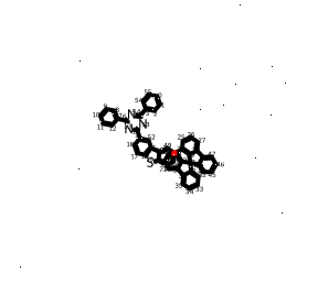 c1ccc(-c2nc(-c3ccccc3)nc(-c3ccc4sc5ccc(-c6cccc7c6C6(c8ccccc8-c8ccccc86)c6ccccc6-7)cc5c4c3)n2)cc1